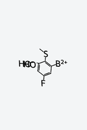 [B+2]c1cc(F)ccc1SC.[OH-].[OH-]